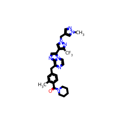 Cc1cc(Cc2nccn3c(-c4cn(Cc5cnn(C)c5)nc4C(F)(F)F)cnc23)ccc1C(=O)N1CCCCC1